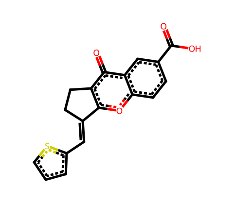 O=C(O)c1ccc2oc3c(c(=O)c2c1)CCC3=Cc1cccs1